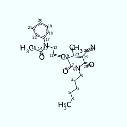 CCCCCCN1C(=O)C(=C=CCN(C(C)=O)c2ccccc2)C(C)=C(C#N)C1=O